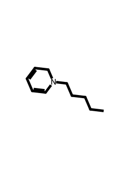 CCCCCN1C=CC=CC1